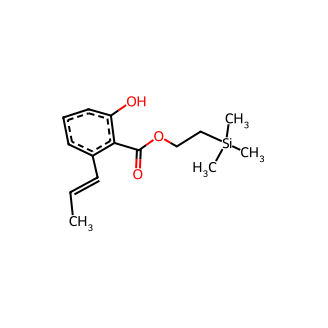 CC=Cc1cccc(O)c1C(=O)OCC[Si](C)(C)C